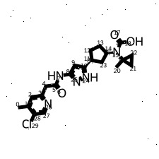 Cc1cc(CC(=O)Nc2cc([C@H]3CC[C@@H](N(C(=O)O)C4(C)CC4)C3)[nH]n2)ncc1Cl